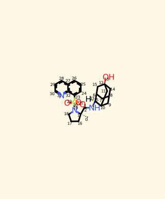 C[C@]1(C(=O)N[C@H]2C3CC4CC2C[C@@](O)(C4)C3)CCCN1S(=O)(=O)c1cccc2cccnc12